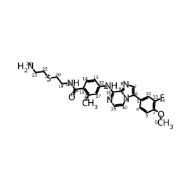 COc1ccc(-c2cnc3c(Nc4ccc(C(=O)NCCSCCN)c(C)c4)nccn23)cc1F